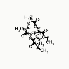 CCOC(=O)C(=NOC(=O)N(C)SSN(C)C(=O)ON=C(SC)C(=O)OCC)SC